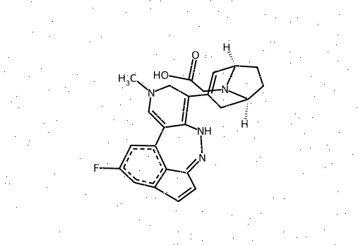 CN1C=C2C(=C(C3=C[C@H]4CC[C@@H](C3)N4CC(=O)O)C1)NN=C1C=Cc3cc(F)cc2c31